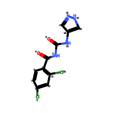 O=C(NC(=O)c1ccc(Cl)cc1Cl)Nc1cn[nH]c1